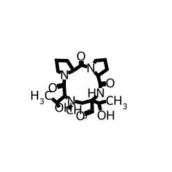 CC(O)C1C(=O)N2CCCC2C(=O)N2CCCC2C(=O)NC(C=O)(C(C)O)CN1C